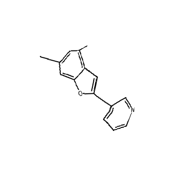 Cc1cc(C)c2cc(-c3cccnc3)oc2c1